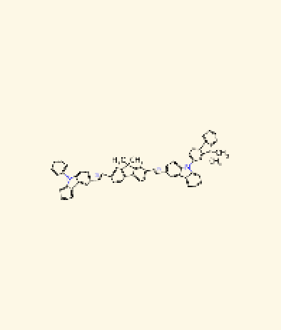 CC1(C)c2cc(/C=C/c3ccc4c(c3)c3ccccc3n4-c3ccccc3)ccc2-c2ccc(/C=C/c3ccc4c(c3)c3ccccc3n4-c3ccc4c(c3)C(C)(C)c3ccccc3-4)cc21